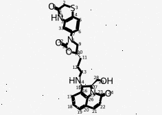 O=C1CSc2ccc(N3C[C@H](CCCN[C@H]4c5cccc6ccc(=O)n(c56)[C@@H]4CO)OC3=O)cc2N1